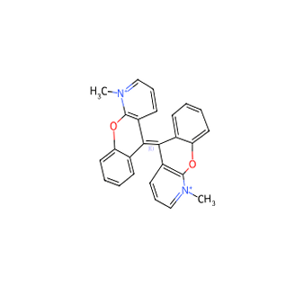 C[n+]1cccc2c1Oc1ccccc1/C2=C1/c2ccccc2Oc2c1ccc[n+]2C